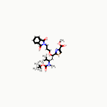 COC(=O)c1csc([C@@H](C[C@H](C(C)C)N(C)C(=O)OC(C)(C)C)OCCCN2C(=O)c3ccccc3C2=O)n1